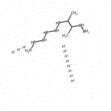 BBBBBBC(C)C(C)BB.[H-].[H-].[H-].[H-].[H-].[H-].[H-].[H-].[H-].[H-].[H-]